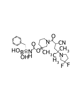 CC(C)(CC(C#N)C(=O)N1CCC[C@](C)(OC(=O)N[C@@H](Cc2ccccc2)B(O)O)C1)N1CCC(F)(F)C1